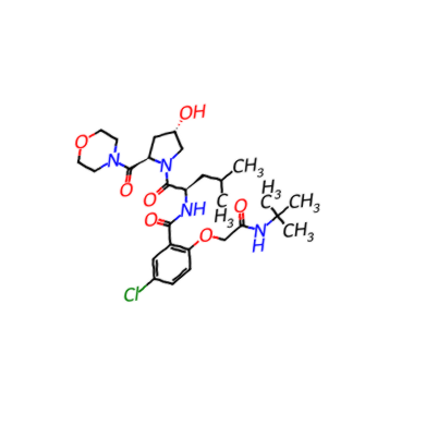 CC(C)C[C@@H](NC(=O)c1cc(Cl)ccc1OCC(=O)NC(C)(C)C)C(=O)N1C[C@@H](O)C[C@@H]1C(=O)N1CCOCC1